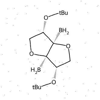 B[C@]12OC[C@H](OC(C)(C)C)[C@@]1(B)OC[C@@H]2OC(C)(C)C